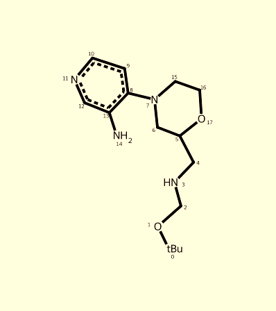 CC(C)(C)OCNCC1CN(c2ccncc2N)CCO1